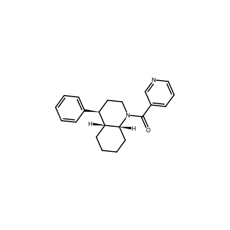 O=C(c1cccnc1)N1CC[C@H](c2ccccc2)[C@H]2CCCC[C@H]21